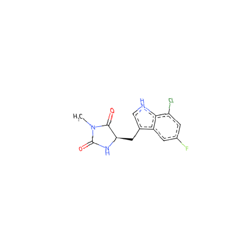 CN1C(=O)N[C@H](Cc2c[nH]c3c(Cl)cc(F)cc23)C1=O